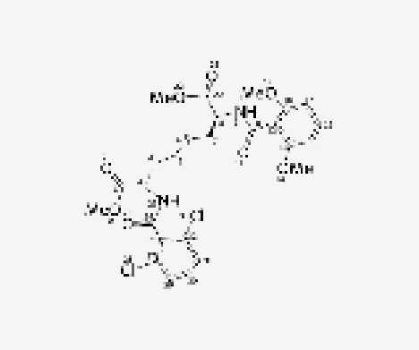 COC(=O)[C@H](CCSC[C@H](NC(=O)c1c(OC)cccc1OC)C(=O)OC)NC(=O)c1c(Cl)cccc1Cl